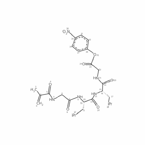 C=C(C)C(=O)NCC(=O)N[C@@H](CC(C)C)C(=O)N[C@@H](CC(C)C)C(=O)NCC(=O)Oc1ccc([N+](=O)[O-])cc1